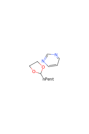 CCCCCC1OCCO1.c1cncnc1